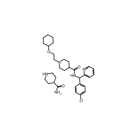 NC(=O)C1CCNCC1.O=C(NC(c1ccc(Cl)cc1)c1ccccn1)C1CCN(CCOC2CCCCC2)CC1